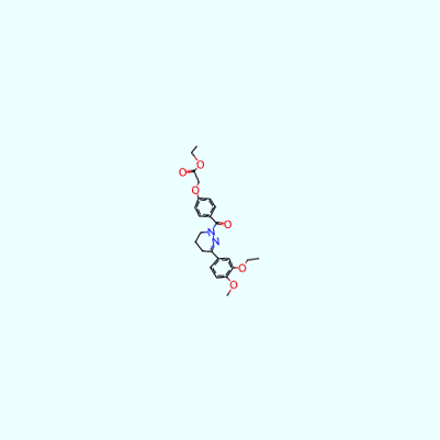 CCOC(=O)COc1ccc(C(=O)N2CCCC(c3ccc(OC)c(OCC)c3)=N2)cc1